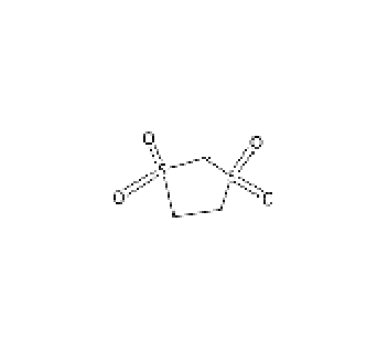 O=S1(=O)[CH]S(=O)(=O)CC1